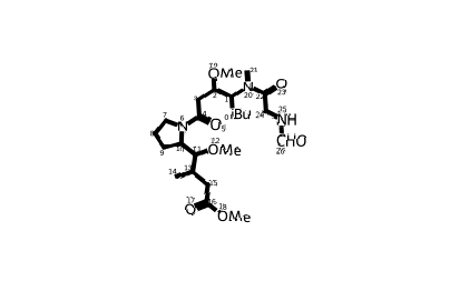 CCC(C)C(C(CC(=O)N1CCCC1C(OC)C(C)CC(=O)OC)OC)N(C)C(=O)CNC=O